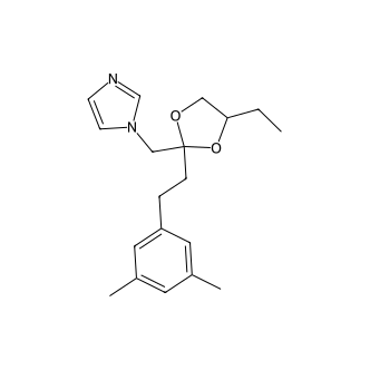 CCC1COC(CCc2cc(C)cc(C)c2)(Cn2ccnc2)O1